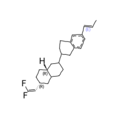 C/C=C/c1ccc2c(c1)CCC(C1CCC3C[C@H](C=C(F)F)CC[C@@H]3C1)C2